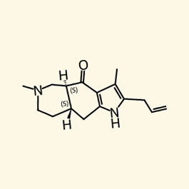 C=CCc1[nH]c2c(c1C)C(=O)[C@@H]1CN(C)CC[C@H]1C2